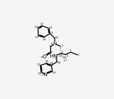 CC[C@H](C)[C@@H](CN(C[C]=O)Cc1ccccc1)NCc1cccnc1